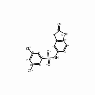 O=C1Cc2cc(NS(=O)(=O)c3cc(Cl)cc(Cl)c3)ccc2N1